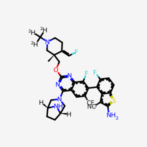 [2H]C([2H])([2H])N1CC/C(=C\F)[C@](C)(COc2nc(N3C[C@H]4CC[C@@H](C3)N4)c3cc(C(F)(F)F)c(-c4c(F)ccc5sc(N)c(C#N)c45)c(F)c3n2)C1